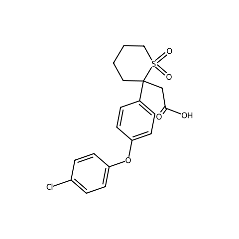 O=C(O)CC1(c2ccc(Oc3ccc(Cl)cc3)cc2)CCCCS1(=O)=O